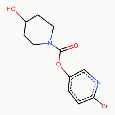 O=C(Oc1ccc(Br)nc1)N1CCC(O)CC1